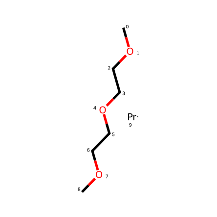 COCCOCCOC.[Pr]